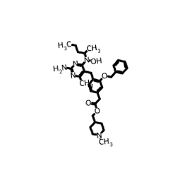 CCCC(C)N(O)c1nc(N)nc(C)c1Cc1ccc(CC(=O)OCC2CCN(C)CC2)cc1OCc1ccccc1